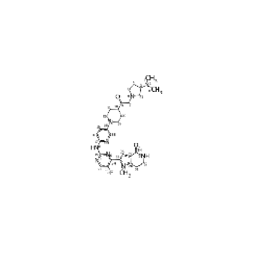 CN(C)C1CCN(CC(=O)C2CCN(c3ccc(Nc4ncc(F)c(-c5cc6c(n5C)CCNC6=O)n4)nc3)CC2)C1